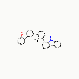 [2H]c1c(-c2ccc3oc4ccccc4c3c2)cccc1-c1cccc2c1[nH]c1ccccc12